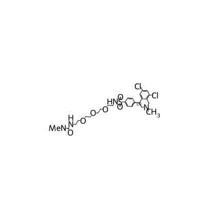 CNC(=O)NCCOCCOCCOCCNS(=O)(=O)c1ccc([C@@H]2CN(C)Cc3c(Cl)cc(Cl)cc32)cc1